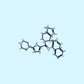 O=C(c1nnc(N2CCOCC2)o1)N1CCc2[nH]cnc2[C@H]1c1cc2ccccc2cn1